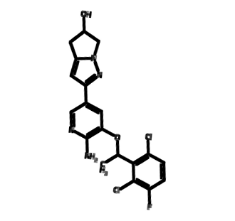 CC(Oc1cc(-c2cc3n(n2)CC(O)C3)cnc1N)c1c(Cl)ccc(F)c1Cl